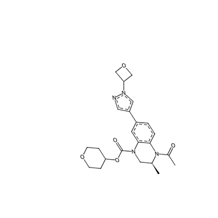 CC(=O)N1c2ccc(-c3cnn(C4COC4)c3)cc2N(C(=O)OC2CCOCC2)C[C@@H]1C